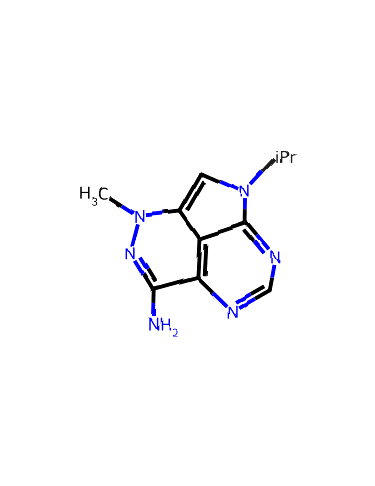 CC(C)n1cc2c3c(ncnc31)C(N)=NN2C